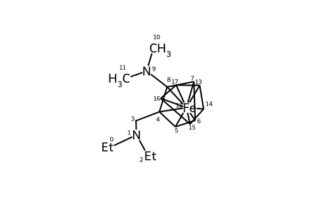 CCN(CC)C[C]12[CH]3[CH]4[CH]5[C]1(N(C)C)[Fe]43521678[CH]2[CH]1[CH]6[CH]7[CH]28